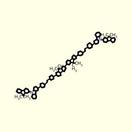 CC1(C)c2cc(-c3ccc(/C=C/c4ccc(-c5ccc6c(c5)c5ccccc5n6-c5ccc6c(c5)C(C)(C)c5ccccc5-6)cc4)cc3)ccc2-c2ccc(-c3ccc4c(c3)C(C)(C)c3cc(-c5ccc(/C=C/c6ccc(-c7ccc8c(c7)c7ccccc7n8-c7ccc8c(c7)C(C)(C)c7ccccc7-8)cc6)cc5)ccc3-4)cc21